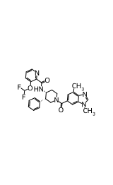 Cc1cc(C(=O)N2CC[C@@H](NC(=O)c3ncccc3OC(F)F)[C@@H](c3ccccc3)C2)cc2c1ncn2C